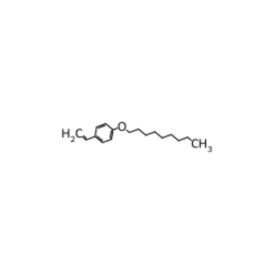 C=Cc1ccc(OCCCCCCCCC)cc1